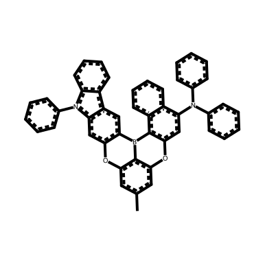 Cc1cc2c3c(c1)Oc1cc(N(c4ccccc4)c4ccccc4)c4ccccc4c1B3c1cc3c4ccccc4n(-c4ccccc4)c3cc1O2